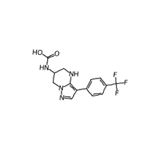 O=C(O)NC1CNc2c(-c3ccc(C(F)(F)F)cc3)cnn2C1